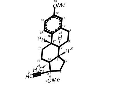 C#C[C@]1(OC)CC[C@H]2[C@@H]3CCc4cc(OC)ccc4[C@H]3CC[C@@]21C